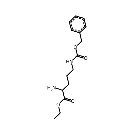 CCOC(=O)C(N)CCCNC(=O)OCc1ccccc1